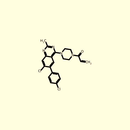 C=CC(=O)N1CCN(c2nc(C)nc3cc(Cl)c(-c4ccc(Cl)cc4)cc23)CC1